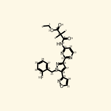 CCOC(=O)C(C)(C)C(=O)Nc1ccnc(-c2cc(-c3ccon3)n(Cc3ccccc3F)n2)n1